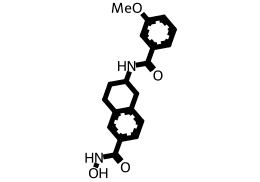 COc1cccc(C(=O)NC2CCc3cc(C(=O)NO)ccc3C2)c1